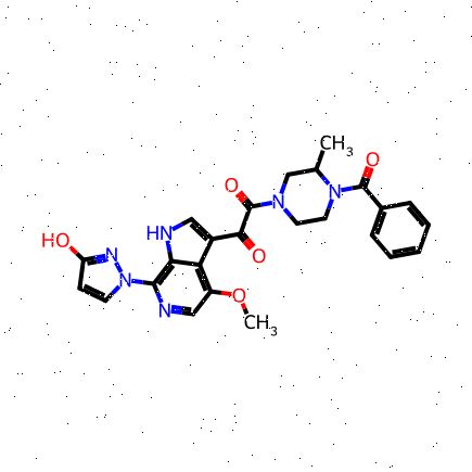 COc1cnc(-n2ccc(O)n2)c2[nH]cc(C(=O)C(=O)N3CCN(C(=O)c4ccccc4)C(C)C3)c12